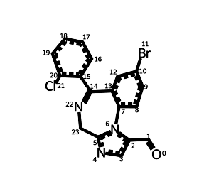 O=Cc1cnc2n1-c1ccc(Br)cc1C(c1ccccc1Cl)=NC2